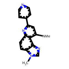 CNc1cc(-c2ccncc2)nc2ccc3c(ncn3C)c12